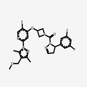 COCc1c(C)nn(-c2cc(OC3CN(C(=O)N4N=CCC4c4cc(F)cc(F)c4)C3)c(F)cn2)c1C